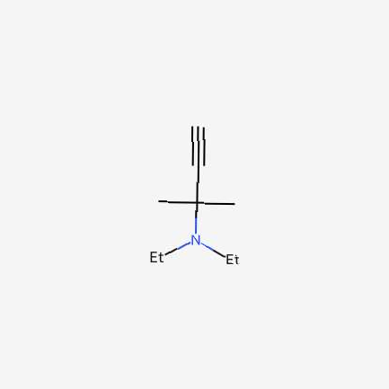 C#CC(C)(C)N(CC)CC